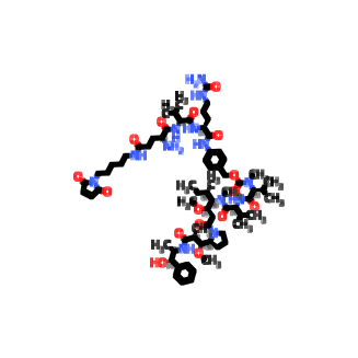 CC[C@H](C)[C@@H]([C@@H](CC(=O)N1CCC[C@H]1[C@H](OC)[C@@H](C)C(=O)N[C@H](C)[C@@H](O)c1ccccc1)OC)N(C)C(=O)[C@@H](NC(=O)[C@H](C(C)C)N(C)C(=O)OCc1ccc(NC(=O)[C@H](CCCNC(N)=O)NC(=O)[C@@H](NC(=O)[C@@H](N)CCC(=O)NCCCCCN2C(=O)C=CC2=O)C(C)C)cc1)C(C)C